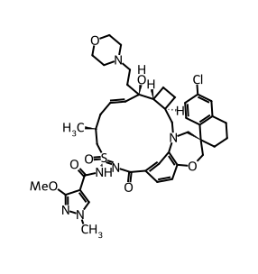 COc1nn(C)cc1C(=O)N[S@@]1(=O)=NC(=O)c2ccc3c(c2)N(C[C@@H]2CC[C@H]2[C@@](O)(CCN2CCOCC2)/C=C/C[C@H](C)C1)C[C@@]1(CCCc2cc(Cl)ccc21)CO3